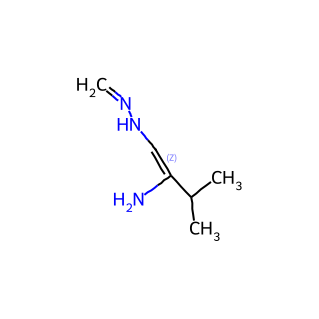 C=NN/C=C(\N)C(C)C